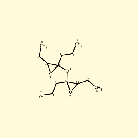 CCCC1(OC2(CCC)OC2CC)OC1CC